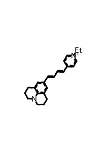 CC[n+]1ccc(/C=C/C=C/c2cc3c4c(c2)CCCN4CCC3)cc1